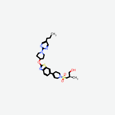 CCCc1cnc(N2CCC(Oc3nc4ccc(C5=CCN(S(=O)(=O)C[C@H](C)CO)CC5)cc4s3)CC2)nc1